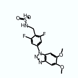 COc1cc2nnn(-c3cc(F)c(CN[SH](=O)=O)c(F)c3)c2cc1OC